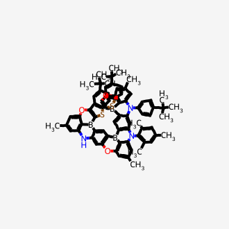 Cc1cc(C)c(N2c3cc4c(cc3B3c5cc6c(cc5Oc5cc(C)cc2c53)Nc2cc(C)cc3c2B6c2sc5ccc(C(C)(C)C)cc5c2O3)B2c3sc5ccc(C(C)(C)C)cc5c3Oc3cc(C)cc(c32)N4c2ccc(C(C)(C)C)cc2)c(C)c1